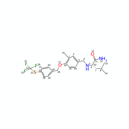 Cc1cc(CN[C@@H](CC(C)C)C(N)=O)ccc1OCc1ccc(SC(F)(F)F)cc1